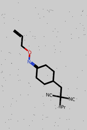 [C-]#[N+]C(C#N)(CCC)CC1CCC(=NOCC=C)CC1